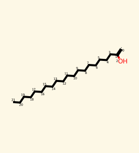 [CH]=C(O)CCCCCCCCCCCCCCCCCCC